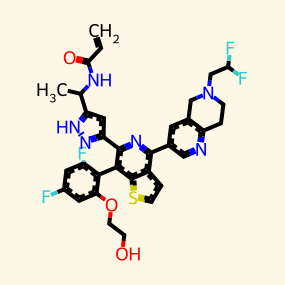 C=CC(=O)NC(C)c1cc(-c2nc(-c3cnc4c(c3)CN(CC(F)F)CC4)c3ccsc3c2-c2c(F)cc(F)cc2OCCO)n[nH]1